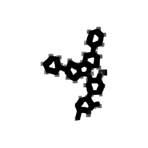 Cc1ccc(-c2ccc(C#N)c(-n3c4ccc(-c5ccccc5)cc4c4cc(-c5ccccc5)ccc43)c2)c(C)n1